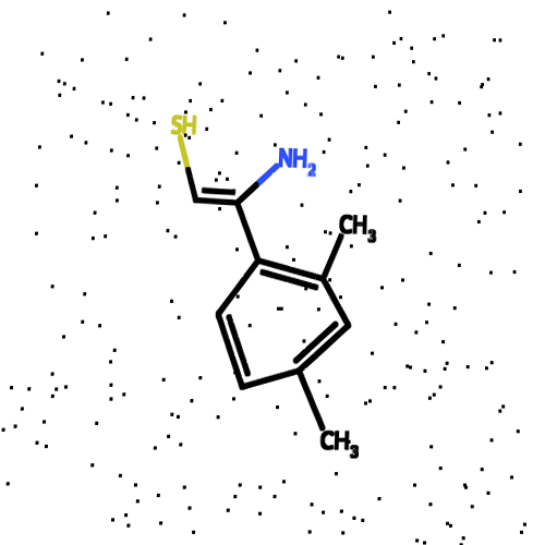 Cc1ccc(/C(N)=C/S)c(C)c1